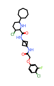 O=C(COc1ccc(Cl)c(F)c1)NC12CC(NC(=O)C3NC(C4CCCCCC4)CCC3Cl)(C1)C2